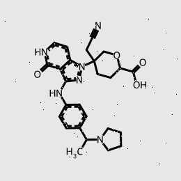 CC(c1ccc(Nc2nn(C3(CC#N)CCC(C(=O)O)OC3)c3cc[nH]c(=O)c23)cc1)N1CCCC1